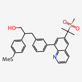 CSc1ccc(C(CO)Cc2cccc(-c3cc(C(C)(C)S(C)(=O)=O)cc4cccnc34)c2)cc1